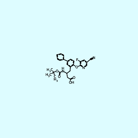 CC(C)(C)OC(=O)NC(CC(=O)O)Cc1cc(-c2ccccc2)ccc1Oc1ncc(C#N)cc1F